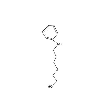 OCCSCCCNc1ccccc1